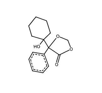 O=C1OCOC1(c1ccccc1)C1(O)CCCCC1